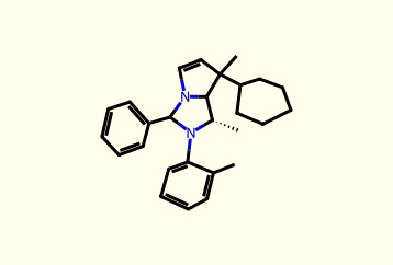 Cc1ccccc1N1C(c2ccccc2)N2C=CC(C)(C3CCCCC3)C2[C@@H]1C